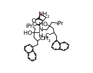 CC(C)CC(O)(CC(C)Cc1cccc2ccccc12)CN(CC(O)(CC(C)C)CC(C)Cc1cccc2ccccc12)C(=O)C1(C(N)=O)CCC1